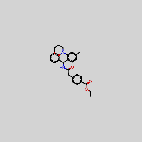 CCOC(=O)c1ccc(CC(=O)NC(c2ccccc2)c2ccc(C)cc2N2CCCCC2)cc1